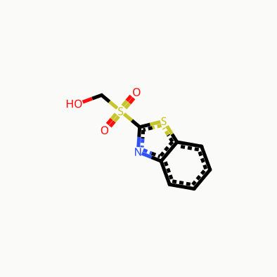 O=S(=O)(CO)c1nc2ccccc2s1